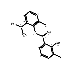 Cc1cccc(B(O)Oc2c(C)cccc2B(O)O)c1O